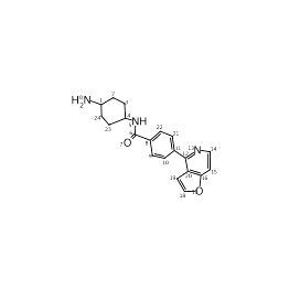 NC1CCC(NC(=O)c2ccc(-c3nccc4occc34)cc2)CC1